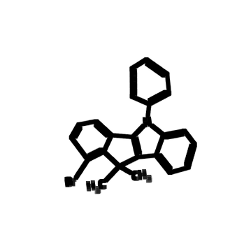 CC1(C)c2c(Br)cccc2-c2c1c1ccccc1n2-c1ccccc1